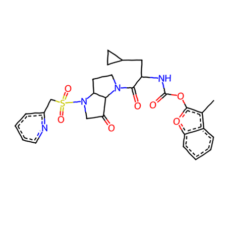 Cc1c(OC(=O)NC(CC2CC2)C(=O)N2CCC3C2C(=O)CN3S(=O)(=O)Cc2ccccn2)oc2ccccc12